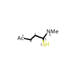 CN[C](S)CCC(C)=O